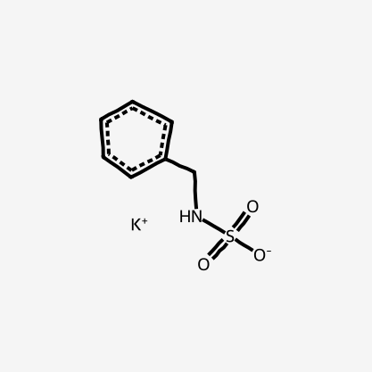 O=S(=O)([O-])NCc1ccccc1.[K+]